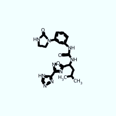 CC(C)CC(NC(=O)Nc1cccc(N2CCNC2=O)c1)c1nc(-c2nnc[nH]2)no1